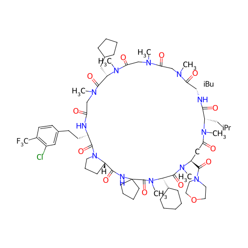 CC[C@H](C)[C@@H]1NC(=O)[C@H](CC(C)C)N(C)C(=O)C[C@@H](C(=O)N2CCOCC2)N(C)C(=O)[C@H](C2CCCCC2)N(C)C(=O)C2(CCCC2)NC(=O)[C@@H]2CCCN2C(=O)[C@H](CCc2ccc(C(F)(F)F)c(Cl)c2)NC(=O)CN(C)C(=O)[C@H](CC2CCCC2)N(C)C(=O)CN(C)C(=O)CN(C)C1=O